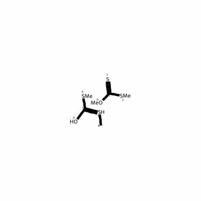 COC(=S)SC.CSC(O)=[SH]C